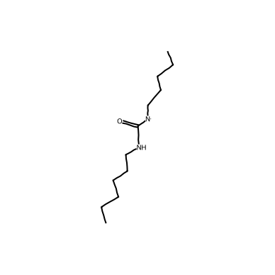 CCCCCCNC(=O)[N]CCCCC